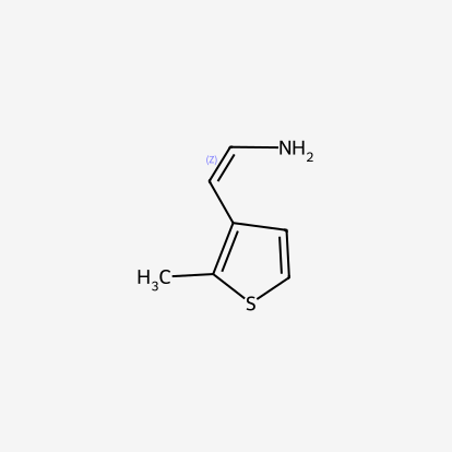 Cc1sccc1/C=C\N